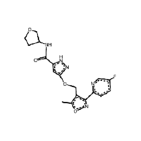 Cc1onc(-c2ccc(F)cn2)c1COc1cc(C(=O)NC2CCOC2)[nH]n1